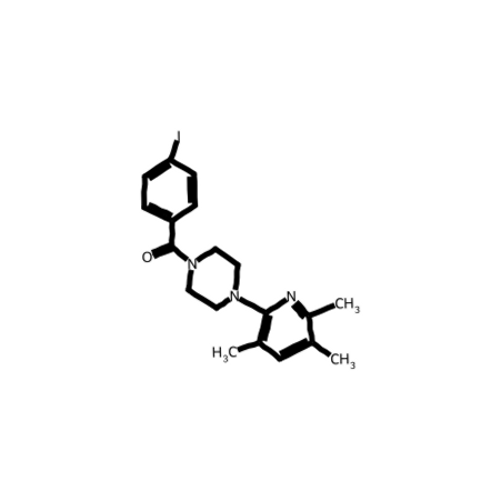 Cc1cc(C)c(N2CCN(C(=O)c3ccc(I)cc3)CC2)nc1C